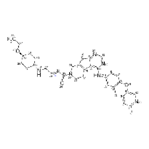 Cc1ccc(Oc2ccc(Nc3ncnc4sc5c(c34)CCN(C(=O)/C=C/CN[C@H]3CC[C@H](OCC(F)(F)F)CC3)C5)cc2C)cn1